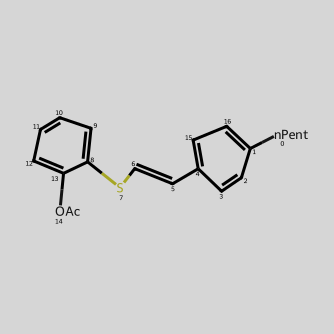 CCCCCc1ccc(C=CSc2ccccc2OC(C)=O)cc1